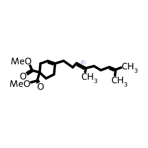 COC(=O)C1(C(=O)OC)CC=C(CC/C=C(\C)CCC=C(C)C)CC1